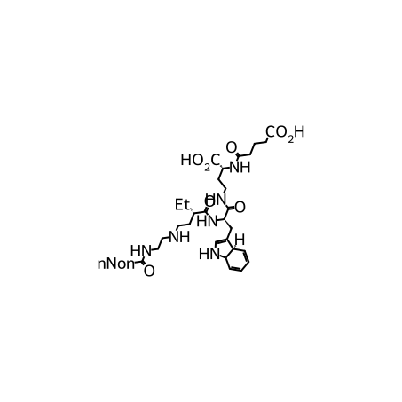 CCCCCCCCCC(=O)NCCNCC[C@H](CC)C(=O)N[C@H](CC1=CNC2C=CC=C[C@H]12)C(=O)NCC[C@@H](NC(=O)CCCC(=O)O)C(=O)O